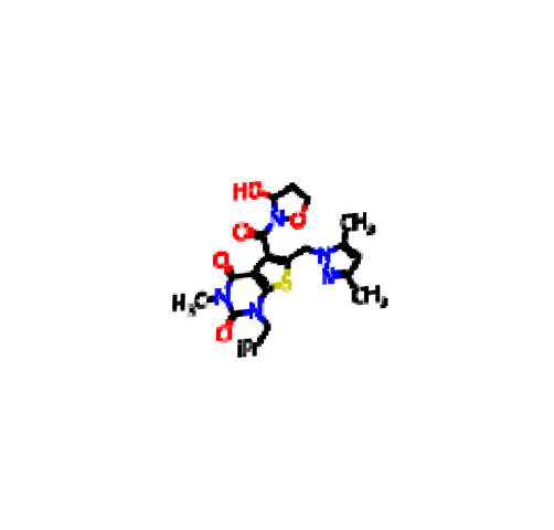 Cc1cc(C)n(Cc2sc3c(c2C(=O)N2OCCC2O)c(=O)n(C)c(=O)n3CC(C)C)n1